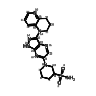 NS(=O)(=O)C1CCCN(c2cnc3c(N4CCCc5ncccc54)n[nH]c3n2)C1